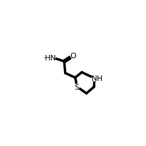 [NH]C(=O)CC1CNCCS1